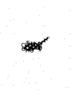 CCCCCCOC(=S)[C@@]1(OC(C)=O)[C@H](C)C[C@H]2[C@@H]3C[C@H](F)C4=C(Cl)C(=O)C=C[C@]4(C)[C@H]3[C@@H](O)C[C@@]21C